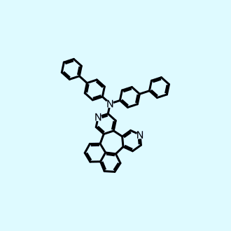 c1ccc(-c2ccc(N(c3ccc(-c4ccccc4)cc3)c3cc4c(cn3)-c3cccc5cccc(c35)-c3ccncc3-4)cc2)cc1